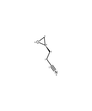 N#CCC[C@@H]1CO1